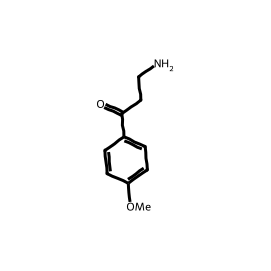 COc1ccc(C(=O)CCN)cc1